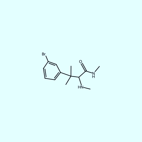 CNC(=O)C(NC)C(C)(C)c1cccc(Br)c1